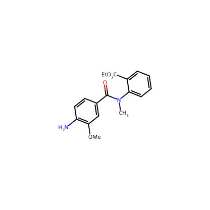 CCOC(=O)c1ccccc1N(C)C(=O)c1ccc(N)c(OC)c1